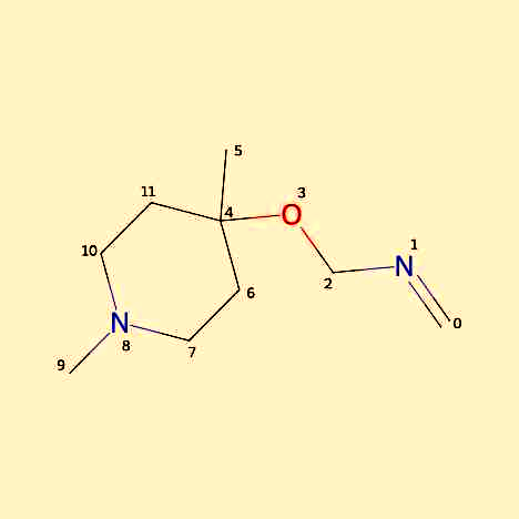 C=NCOC1(C)CCN(C)CC1